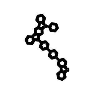 c1ccc(-n2c3ccccc3c3cc4c5ccccc5n(-c5ccc(-c6ccc(-c7ccc8oc9ccccc9c8c7)cc6)cc5)c4cc32)cc1